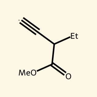 [C]#CC(CC)C(=O)OC